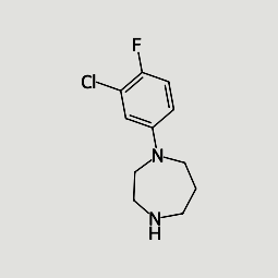 Fc1ccc(N2CCCNCC2)cc1Cl